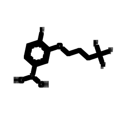 OB(O)c1ccc(F)c(OCCCC(F)(F)F)c1